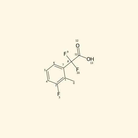 Cc1c(F)cccc1C(F)(F)C(=O)O